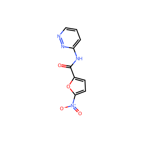 O=C(Nc1cccnn1)c1ccc([N+](=O)[O-])o1